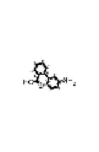 Nc1cccc(-c2cc[c]cc2C(=O)O)c1